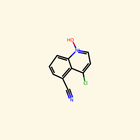 N#Cc1cccc2c1c(Cl)cc[n+]2O